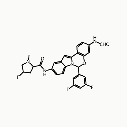 CN1CC(F)CC1C(=O)Nc1ccc2c(c1)cc1n2C(c2cc(F)cc(F)c2)Oc2cc(NC=O)ccc2-1